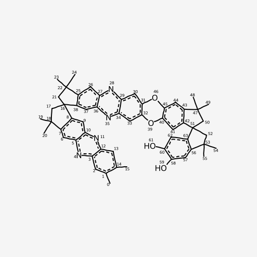 Cc1cc2nc3cc4c(cc3nc2cc1C)C1(CC4(C)C)CC(C)(C)c2cc3nc4cc5c(cc4nc3cc21)Oc1cc2c(cc1O5)C(C)(C)CC21CC(C)(C)c2cc(O)c(O)cc21